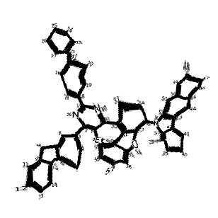 CCc1c(-c2ccc3c(c2)Cc2ccccc2-3)nc(-c2ccc(-c3ccccc3)cc2)nc1-c1ccc(-n2c3ccccc3c3cc4ccccc4cc32)c2oc3ccccc3c12